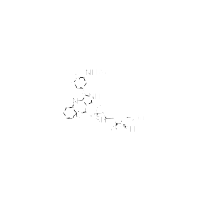 CC(=O)Nc1cc(-c2[nH]c3c(c2Nc2ccccc2)C(=O)CC(S)(CCCC(=O)N(C)CC(C)(C)C)C3)ccn1